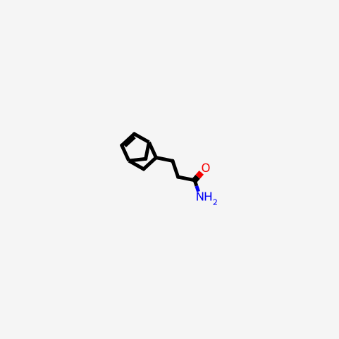 NC(=O)CCC1CC2C=CC1C2